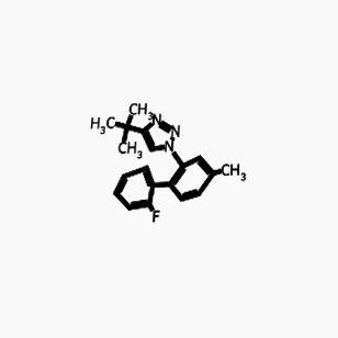 Cc1ccc(-c2ccccc2F)c(-n2cc(C(C)(C)C)nn2)c1